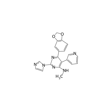 CNc1nc(-n2ccnc2)nc(-c2ccc3c(c2)OCO3)c1-c1cccnc1